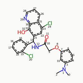 CN(C)c1cccc(OCC(=O)NC(c2ccccc2Cl)c2cc(Cl)c3cccnc3c2O)c1